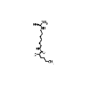 CCCCC(C)C(=O)NCCCCCCNC(=N)N